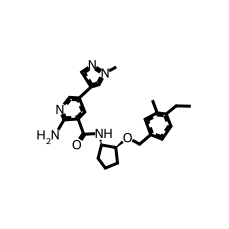 CCc1ccc(CO[C@H]2CCC[C@@H]2NC(=O)c2cc(-c3cnn(C)c3)cnc2N)cc1C